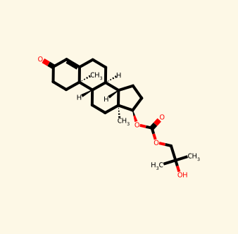 CC(C)(O)COC(=O)O[C@@H]1CC[C@H]2[C@@H]3CCC4=CC(=O)CC[C@]4(C)[C@H]3CC[C@]12C